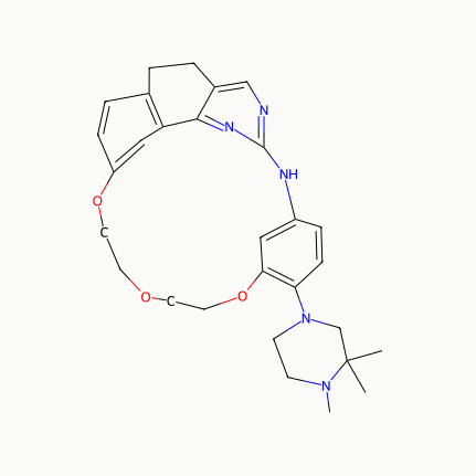 CN1CCN(c2ccc3cc2OCCOCCOc2ccc4c(c2)-c2nc(ncc2CC4)N3)CC1(C)C